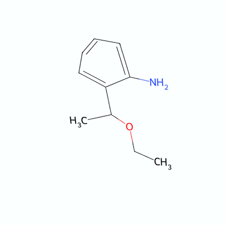 CCOC(C)c1ccccc1N